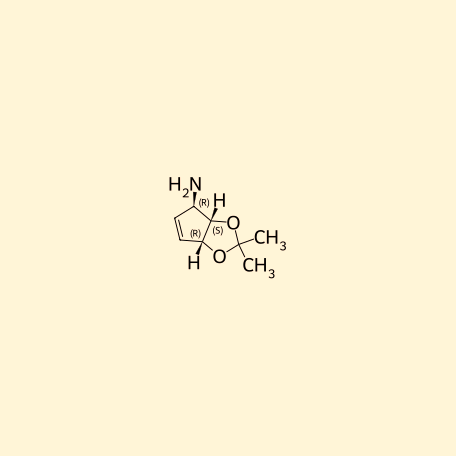 CC1(C)O[C@H]2[C@H](N)C=C[C@H]2O1